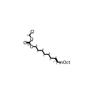 CCCCCCCC/C=C/CCCCCCOC(=O)OCCl